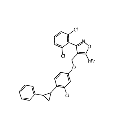 CCCc1onc(-c2c(Cl)cccc2Cl)c1COc1ccc(C2CC2c2ccccc2)c(Cl)c1